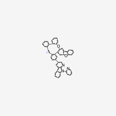 C1=C\c2ccc(-c3cnc4c(c3)c3ccccc3n4-c3ccccn3)cc2-c2cc3oc4ccccc4c3cc2Oc2ccccc2-c2ccccc2/1